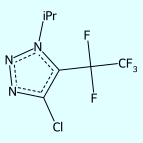 CC(C)n1nnc(Cl)c1C(F)(F)C(F)(F)F